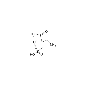 CC(=O)C(C)(CN)CS(=O)(=O)O